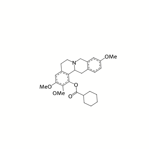 COc1ccc2c(c1)CN1CCc3cc(OC)c(OC)c(OC(=O)C4CCCCC4)c3C1C2